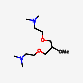 COC(COCCN(C)C)COCCN(C)C